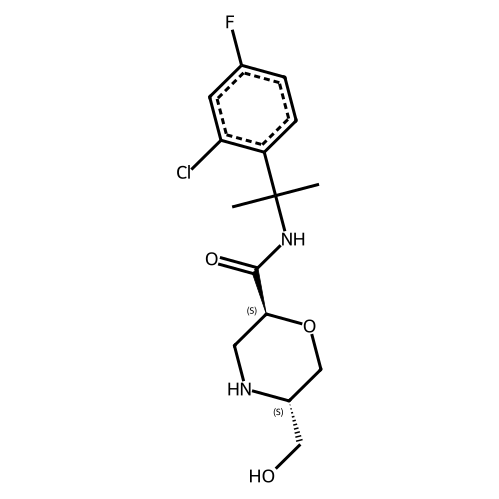 CC(C)(NC(=O)[C@@H]1CN[C@@H](CO)CO1)c1ccc(F)cc1Cl